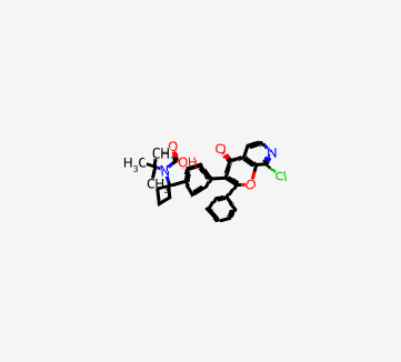 CC(C)(C)N(C(=O)O)C1(c2ccc(-c3c(-c4ccccc4)oc4c(Cl)nccc4c3=O)cc2)CCC1